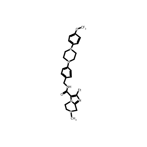 CCc1nc2n(c1C(=O)NCc1ccc(N3CCN(c4ccc(OC(F)(F)F)cc4)CC3)cc1)CCN(C)C2